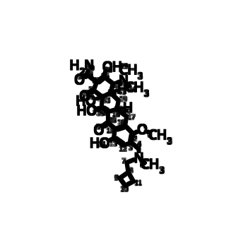 COc1c(CN(C)CC2CCC2)cc(O)c2c1C[C@H]1C[C@H]3[C@H](N(C)C)C(O)=C(C(N)=O)C(=O)[C@@]3(O)C(O)=C1C2=O